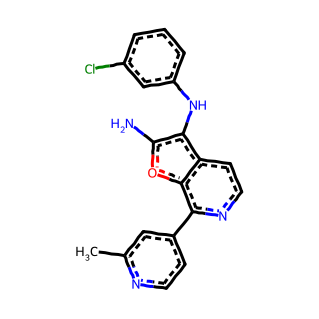 Cc1cc(-c2nccc3c(Nc4cccc(Cl)c4)c(N)oc23)ccn1